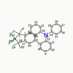 CC1(C)c2ccc(-c3ccccc3N(c3ccccc3)c3ccccc3)cc2C(C)(C)C1(F)F